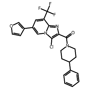 O=C(c1nc2c(C(F)(F)F)cc(-c3ccoc3)cn2c1Cl)N1CCC(c2ccccc2)CC1